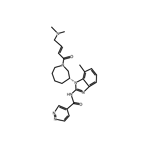 Cc1cccc2nc(NC(=O)c3ccnnc3)n([C@@H]3CCCCN(C(=O)C=CCN(C)C)C3)c12